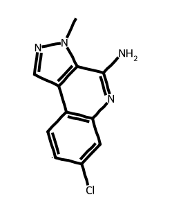 Cn1ncc2c3c[c]c(Cl)cc3nc(N)c21